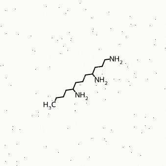 CCCCC(N)CCCC(N)CCCN